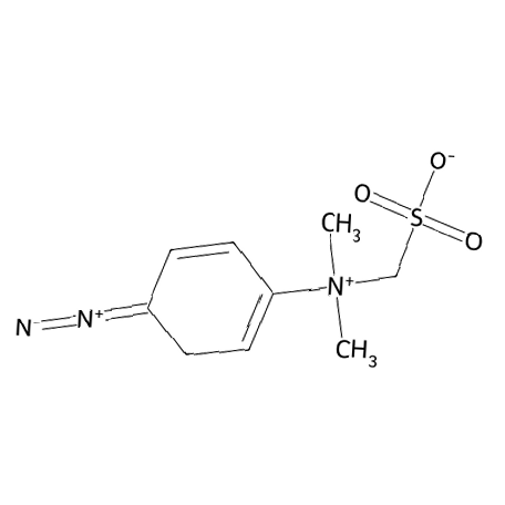 C[N+](C)(CS(=O)(=O)[O-])C1=CCC(=[N+]=[N-])C=C1